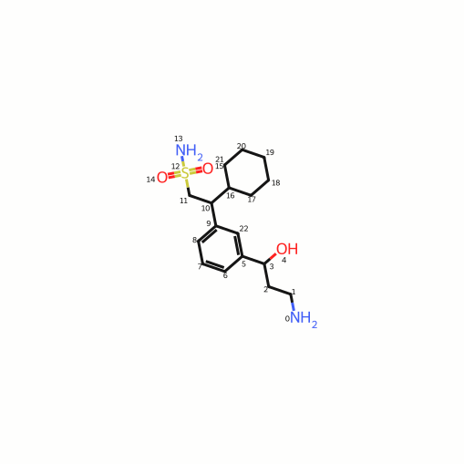 NCCC(O)c1cccc(C(CS(N)(=O)=O)C2CCCCC2)c1